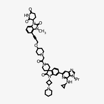 CC(C)n1cnc2cc(-c3ccc4c(c3)N([C@H]3C[C@@H](N5CCCCC5)C3)C(=O)C43CCN(C(=O)CN4CCC(OCC#Cc5cccc6c5n(C)c(=O)n6C5CCC(=O)NC5=O)CC4)CC3)nc(NC3CC3)c21